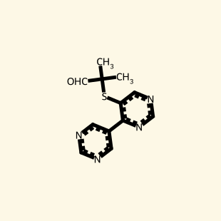 CC(C)(C=O)Sc1cncnc1-c1cncnc1